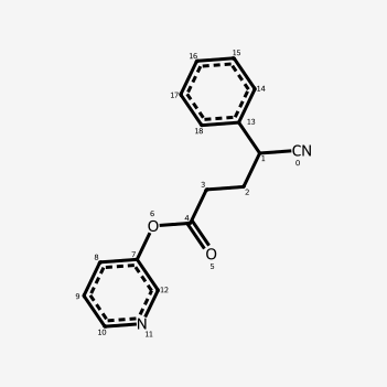 N#CC(CCC(=O)Oc1cccnc1)c1ccccc1